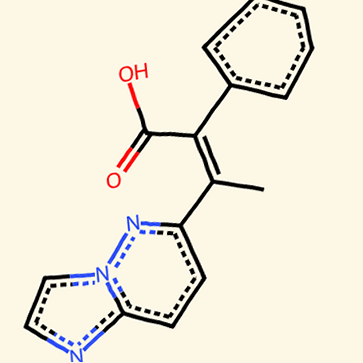 CC(=C(C(=O)O)c1ccccc1)c1ccc2nccn2n1